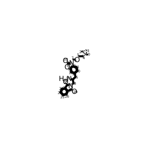 C[Si](C)(C)CCOCn1c(=O)oc2cc(CC(N)CN3C(=O)c4ccccc4C3=O)ccc21